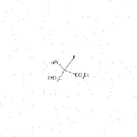 CCCC(F)(C(=O)OCC)C(=O)OCC